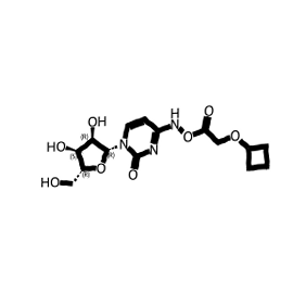 O=C(COC1CCC1)ONc1ccn([C@@H]2O[C@H](CO)[C@@H](O)[C@H]2O)c(=O)n1